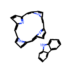 C1=Cc2cc3ccc(cc4nc(cc5ccc(cc1n2)[nH]5)C=C4)[nH]3.c1ccc2c(c1)[nH]c1ccccc12